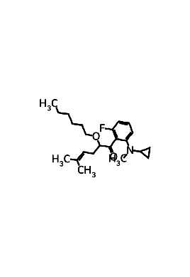 CCCCCCOC(CC=C(C)C)C(=O)c1c(F)cccc1N(C)C1CC1